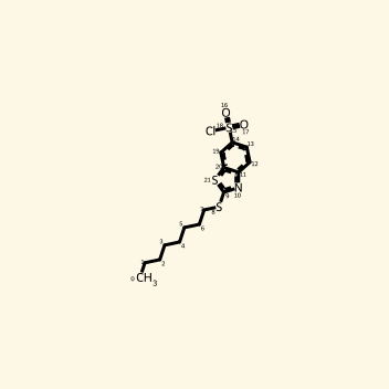 CCCCCCCCSc1nc2ccc(S(=O)(=O)Cl)cc2s1